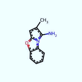 Cc1cc2oc3ccccc3n2c1N